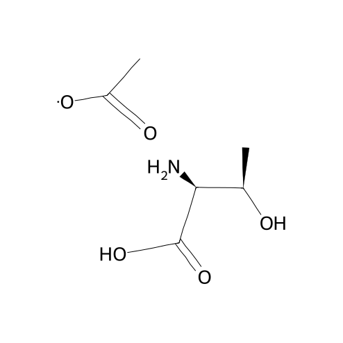 CC([O])=O.C[C@@H](O)[C@H](N)C(=O)O